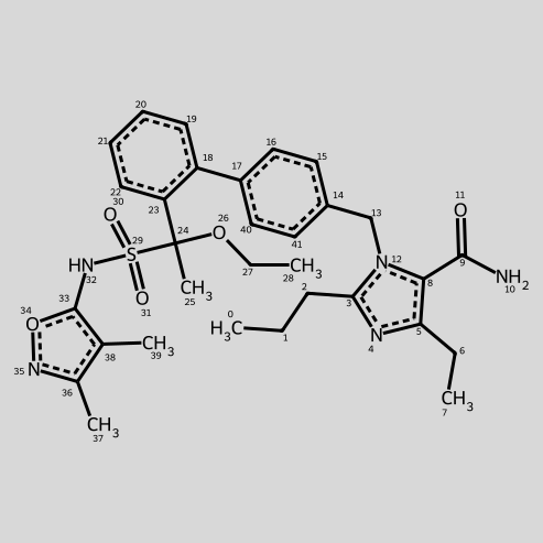 CCCc1nc(CC)c(C(N)=O)n1Cc1ccc(-c2ccccc2C(C)(OCC)S(=O)(=O)Nc2onc(C)c2C)cc1